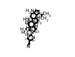 C=C(C)[C@@H]1CC[C@]2(N)CC[C@]3(C)[C@H](CC[C@@H]4[C@@]5(C)CCN(c6ncc(C#N)cn6)C(C)(C)[C@@H]5CC[C@]43C)[C@@H]12.Cl